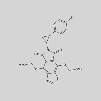 COCOc1c2c(c(OCOC)c3ocnc13)C(=O)N(C1CC1c1ccc(F)cc1)C2=O